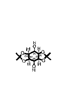 CC1(C)O[C@@H]2[C@H](O)[C@@H]3OC(C)(C)O[C@@H]3[C@H](O)[C@@H]2O1